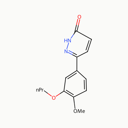 CCCOc1cc(-c2ccc(=O)[nH]n2)ccc1OC